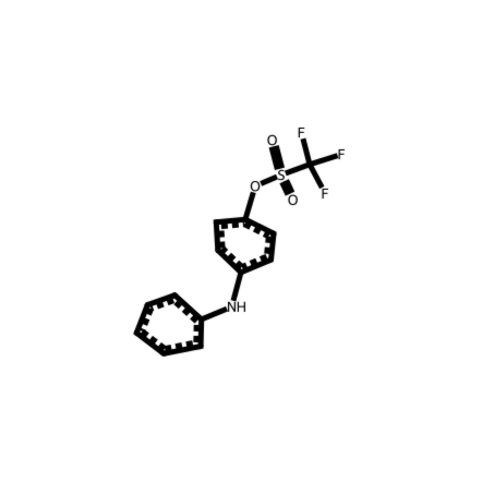 O=S(=O)(Oc1ccc(Nc2ccccc2)cc1)C(F)(F)F